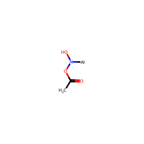 CC(=O)O[N](O)[Al]